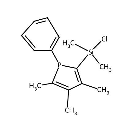 Cc1c(C)c([Si](C)(C)Cl)p(-c2ccccc2)c1C